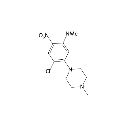 CNc1cc(N2CCN(C)CC2)c(Cl)cc1[N+](=O)[O-]